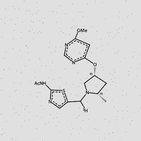 [2H]C(c1cnc(NC(C)=O)s1)N1C[C@H](Oc2cc(OC)ncn2)C[C@@H]1C